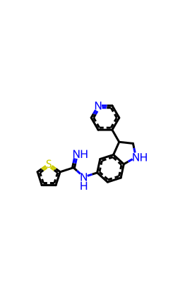 N=C(Nc1ccc2c(c1)C(c1ccncc1)CN2)c1cccs1